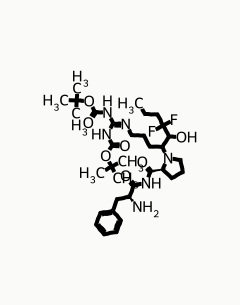 CCCC(F)(F)C(O)C(CCCN=C(NC(=O)OC(C)(C)C)NC(=O)OC(C)(C)C)N1CCC[C@H]1C(=O)NC(=O)[C@@H](N)Cc1ccccc1